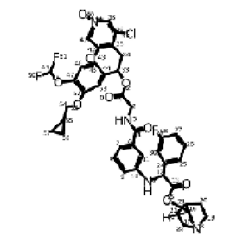 O=C(CNC(=O)c1cccc(NC(C(=O)O[C@H]2CN3CCC2CC3)c2cccc(F)c2)c1)OC(Cc1c(Cl)c[n+]([O-])cc1Cl)c1ccc(OC(F)F)c(OCC2CC2)c1